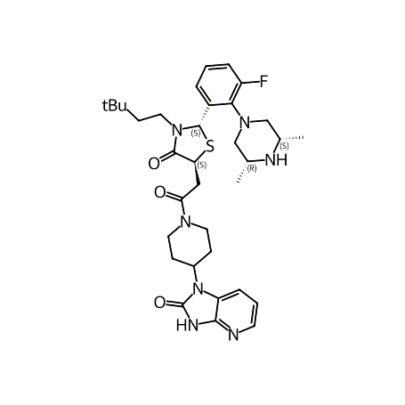 C[C@@H]1CN(c2c(F)cccc2[C@@H]2S[C@@H](CC(=O)N3CCC(n4c(=O)[nH]c5ncccc54)CC3)C(=O)N2CCC(C)(C)C)C[C@H](C)N1